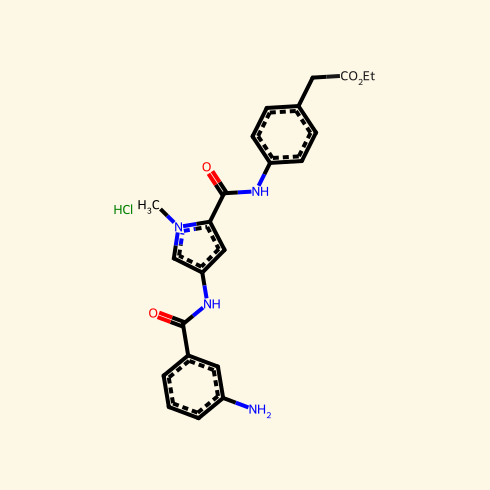 CCOC(=O)Cc1ccc(NC(=O)c2cc(NC(=O)c3cccc(N)c3)cn2C)cc1.Cl